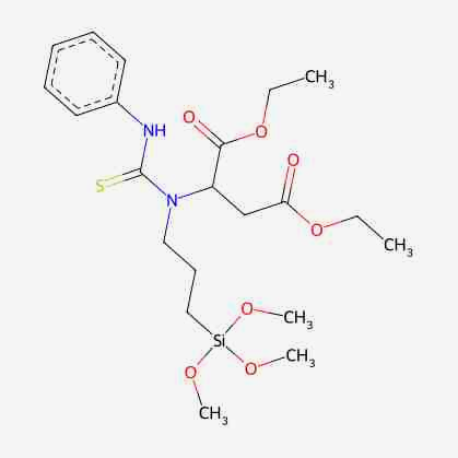 CCOC(=O)CC(C(=O)OCC)N(CCC[Si](OC)(OC)OC)C(=S)Nc1ccccc1